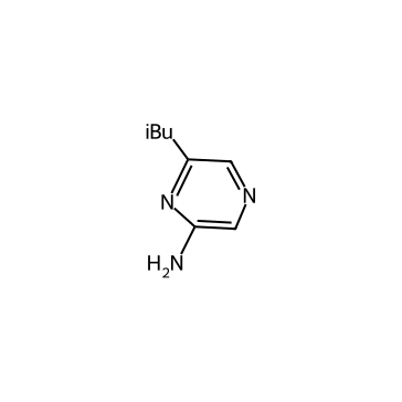 CCC(C)c1cncc(N)n1